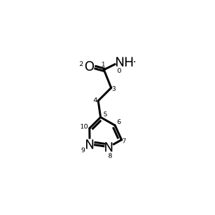 [NH]C(=O)CCc1ccnnc1